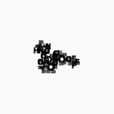 N#CC1(NC(=O)O[C@H]2C[C@@H](S(=O)(=O)c3ccc(OCC(F)(F)F)cc3Cl)CN2C(=O)C2(c3ccccc3)CC2)CC1